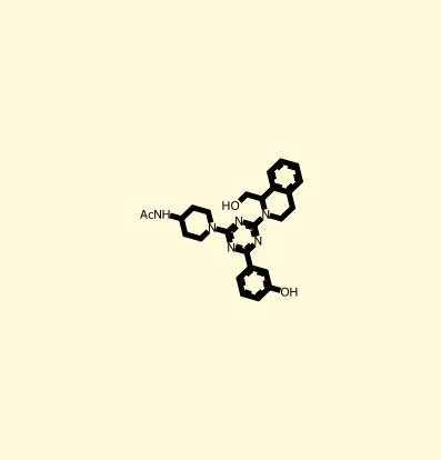 CC(=O)NC1CCN(c2nc(-c3cccc(O)c3)nc(N3CCc4ccccc4C3CO)n2)CC1